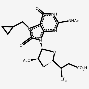 CC(=O)Nc1nc2c(c(=O)[nH]1)n(CC1CC1)c(=O)n2[C@@H]1O[C@H]([C@@H](CC(=O)O)C(F)(F)F)C[C@H]1OC(C)=O